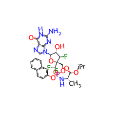 CC(C)OC(=O)[C@H](C)NP(=O)(OC[C@@]1(C(F)F)O[C@@H](n2cnc3c(=O)[nH]c(N)nc32)[C@H](O)[C@H]1F)Oc1ccc2ccccc2c1